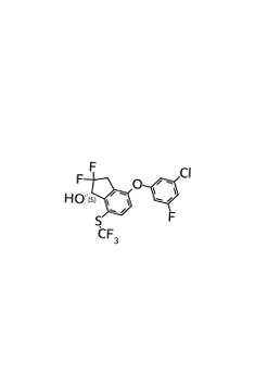 O[C@H]1c2c(SC(F)(F)F)ccc(Oc3cc(F)cc(Cl)c3)c2CC1(F)F